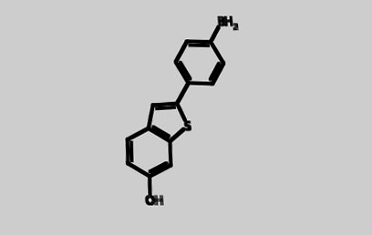 Bc1ccc(-c2cc3ccc(O)cc3s2)cc1